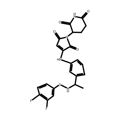 CC(NSc1ccc(F)c(F)c1)c1cccc(NC2=CC(=O)N(C3CCC(=O)NC3=O)C2=O)c1